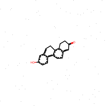 O=C1C=c2ccc3c(c2CC1)CC=c1cc(O)ccc1=3